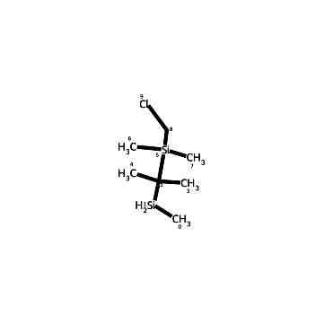 C[SiH2]C(C)(C)[Si](C)(C)CCl